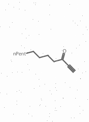 C#CC(=O)CCCCCCCCC